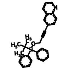 CC(C)(C)[Si](OCC#Cc1ccc2ncccc2c1)(c1ccccc1)c1ccccc1